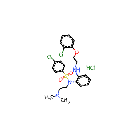 CN(C)CCN(c1ccccc1NCCOc1ccccc1Cl)S(=O)(=O)c1ccc(Cl)cc1.Cl